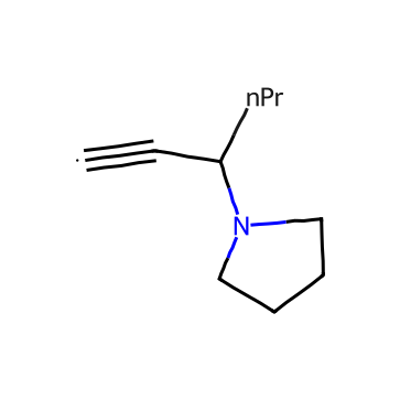 [C]#CC(CCC)N1CCCC1